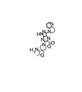 COC(=O)c1nc2c(N3CCCc4ncccc43)n[nH]c2nc1N1CCC2(CC1)CO[C@@H](C)[C@H]2N